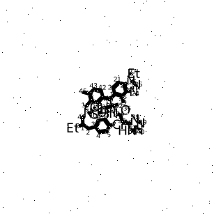 CCC1Cc2ccc(C(F)(F)F)cc2S(O)(O)N(Cc2cc([C@@H](c3ccc4c(nnn4CC)c3C)C(C)(C)NC(=O)Cc3nnn[nH]3)ccc2C)C1